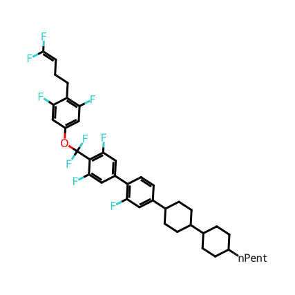 CCCCCC1CCC(C2CCC(c3ccc(-c4cc(F)c(C(F)(F)Oc5cc(F)c(CCC=C(F)F)c(F)c5)c(F)c4)c(F)c3)CC2)CC1